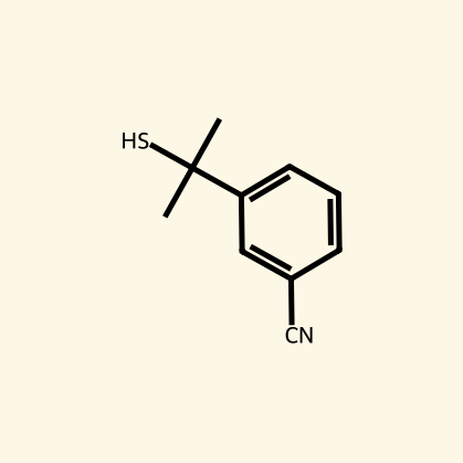 CC(C)(S)c1cccc(C#N)c1